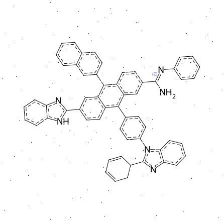 N/C(=N\c1ccccc1)c1ccc2c(-c3ccc4ccccc4c3)c3cc(-c4nc5ccccc5[nH]4)ccc3c(-c3ccc(-n4c(C5C=CC=CC5)nc5ccccc54)cc3)c2c1